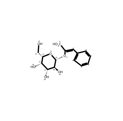 O=C(O)/C(=C/c1ccccc1)O[C@H]1O[C@@H](CO)[C@@H](O)[C@@H](O)[C@@H]1O